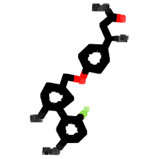 CCC[C@H](CC(=O)OC)c1ccc(OCc2ccc(C(C)(C)C)c(-c3cc(OC)ccc3F)c2)cc1